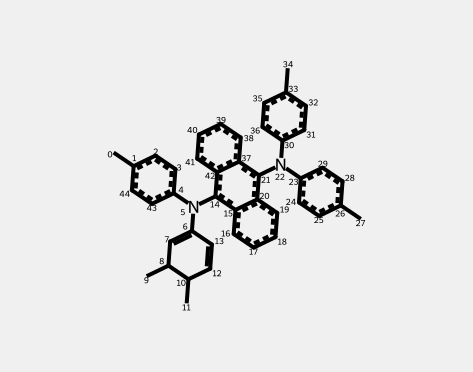 Cc1ccc(N(C2=CC(C)C(C)C=C2)c2c3ccccc3c(N(c3ccc(C)cc3)c3ccc(C)cc3)c3ccccc23)cc1